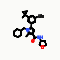 Cc1c(C(=O)NC2CCOC2)cc(-c2cc(C(C)(C)C)cc(C3(C)CC3)c2)n1CC1CCCCC1